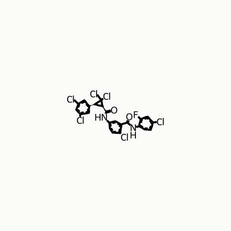 O=C(Nc1ccc(Cl)cc1F)c1cc(NC(=O)[C@H]2[C@H](c3cc(Cl)cc(Cl)c3)C2(Cl)Cl)ccc1Cl